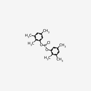 Cc1cc(C)c(C)c(OP(Cl)Oc2cc(C)cc(C)c2C)c1